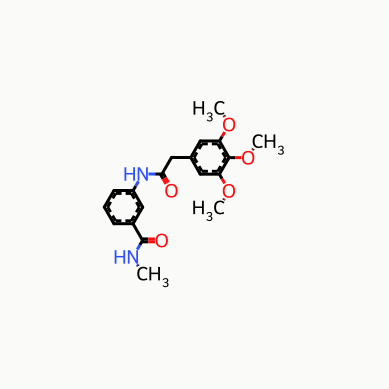 CNC(=O)c1cccc(NC(=O)Cc2cc(OC)c(OC)c(OC)c2)c1